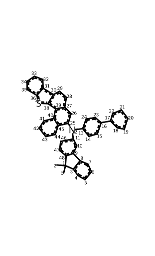 CC1(C)c2ccccc2-c2cc(N(c3ccc(-c4ccccc4)cc3)c3cc4ccc5c6ccccc6sc5c4c4ccccc34)ccc21